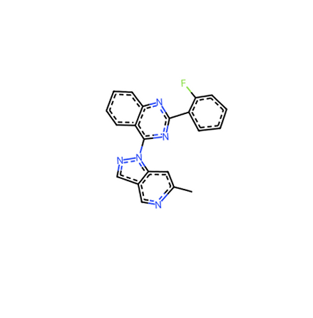 Cc1cc2c(cn1)cnn2-c1nc(-c2ccccc2F)nc2ccccc12